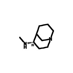 CN[C@H]1CCN2CCCC1C2